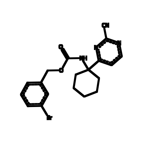 N#Cc1nccc(C2(NC(=O)OCc3cccc(Br)c3)CCCCC2)n1